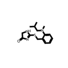 CC(C)CN(C)c1ccccc1CSC1=NC(=O)CN1